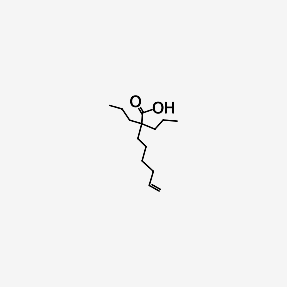 C=CCCCCC(CCC)(CCC)C(=O)O